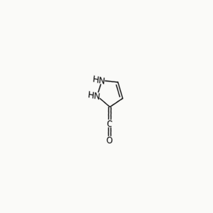 O=C=C1C=CNN1